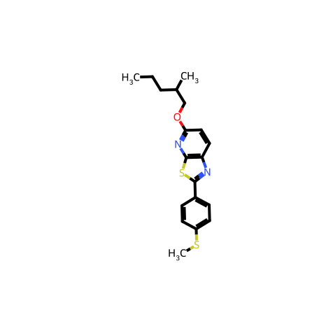 CCCC(C)COc1ccc2nc(-c3ccc(SC)cc3)sc2n1